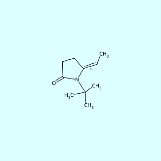 C/C=C1\CCC(=O)N1C(C)(C)C